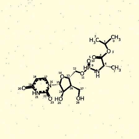 CC(C)OC(=O)[C@H](C)N[PH](=O)OC[C@H]1O[C@@H](n2ccc(=O)[nH]c2=O)[C@H](O)[C@@H]1CO